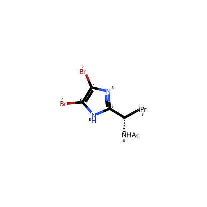 CC(=O)N[C@H](c1nc(Br)c(Br)[nH]1)C(C)C